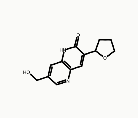 O=c1[nH]c2cc(CO)cnc2cc1C1CCCO1